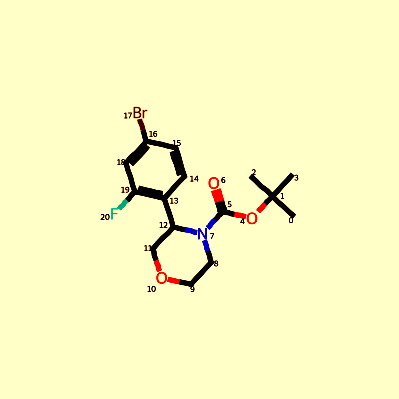 CC(C)(C)OC(=O)N1CCOCC1c1ccc(Br)cc1F